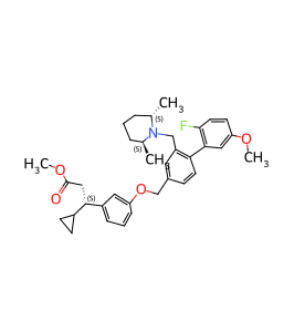 COC(=O)C[C@H](c1cccc(OCc2ccc(-c3cc(OC)ccc3F)c(CN3[C@@H](C)CCC[C@@H]3C)c2)c1)C1CC1